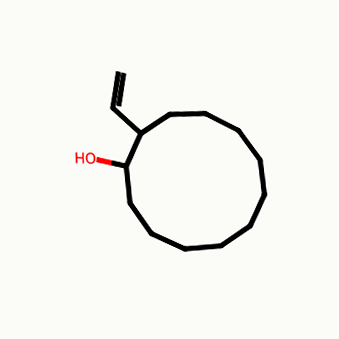 C=CC1CCCCCCCCCCC1O